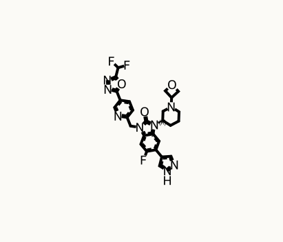 O=c1n(Cc2ccc(-c3nnc(C(F)F)o3)cn2)c2cc(F)c(-c3cn[nH]c3)cc2n1[C@@H]1CCCN(C2COC2)C1